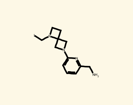 NCc1cccc(N2CC3(CCN3CI)C2)n1